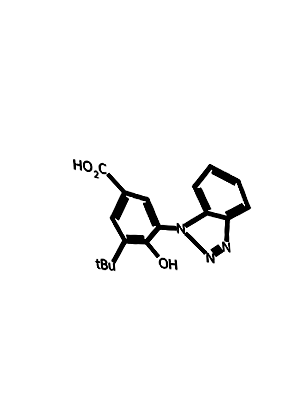 CC(C)(C)c1cc(C(=O)O)cc(-n2nnc3ccccc32)c1O